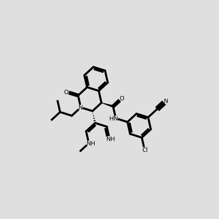 CN/C=C(\C=N)[C@H]1[C@H](C(=O)Nc2cc(Cl)cc(C#N)c2)c2ccccc2C(=O)N1CC(C)C